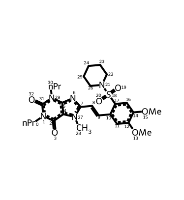 CCCn1c(=O)c2c(nc(C=Cc3cc(OC)c(OC)cc3S(=O)(=O)N3CCCCC3)n2C)n(CCC)c1=O